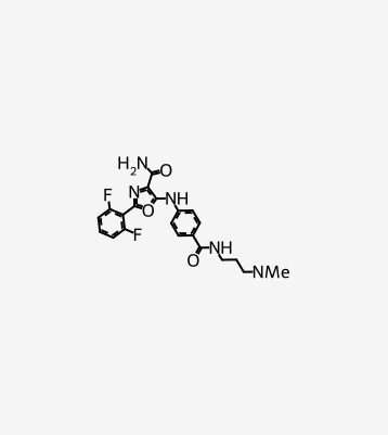 CNCCCNC(=O)c1ccc(Nc2oc(-c3c(F)cccc3F)nc2C(N)=O)cc1